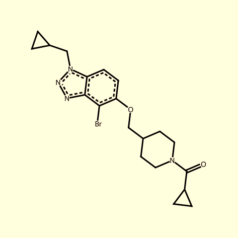 O=C(C1CC1)N1CCC(COc2ccc3c(nnn3CC3CC3)c2Br)CC1